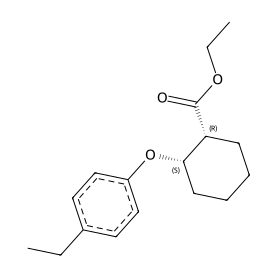 CCOC(=O)[C@@H]1CCCC[C@@H]1Oc1ccc(CC)cc1